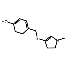 CN1C=C(SCC2=CC=C(O)CC2)CC1